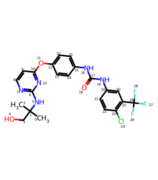 CC(C)(CO)Nc1nccc(Oc2ccc(NC(=O)Nc3ccc(Cl)c(C(F)(F)F)c3)cc2)n1